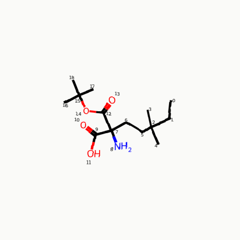 CCC(C)(C)CCC(N)(C(=O)O)C(=O)OC(C)(C)C